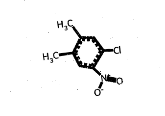 Cc1cc(Cl)c([N+](=O)[O-])cc1C